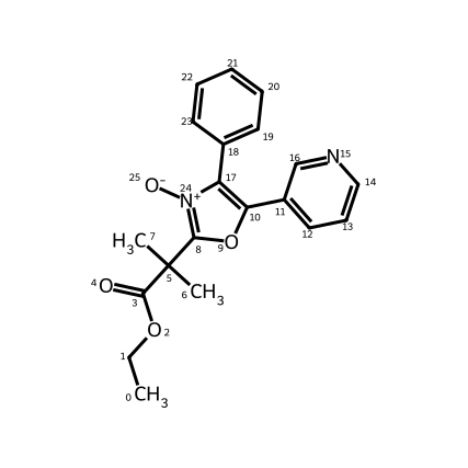 CCOC(=O)C(C)(C)c1oc(-c2cccnc2)c(-c2ccccc2)[n+]1[O-]